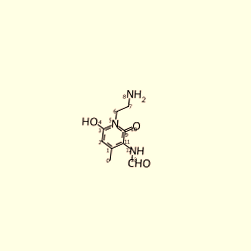 Cc1cc(O)n(CCN)c(=O)c1NC=O